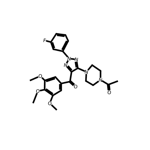 COc1cc(C(=O)c2nn(-c3cccc(F)c3)nc2N2CCN(C(C)=O)CC2)cc(OC)c1OC